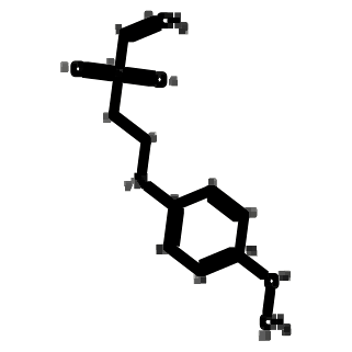 C=CS(=O)(=O)CC[N]c1ccc(OC)cc1